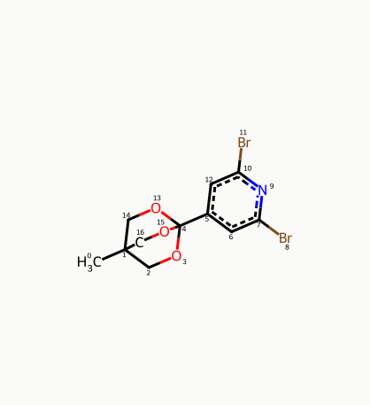 CC12COC(c3cc(Br)nc(Br)c3)(OC1)OC2